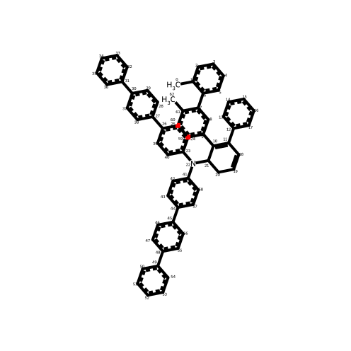 Cc1ccccc1-c1cc(C2=C(c3ccccc3)C=CCC2N(c2ccc(-c3ccc(-c4ccccc4)cc3)cc2)c2ccc(-c3ccc(-c4ccccc4)cc3)cc2)ccc1C